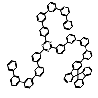 c1ccc(-c2cccc(-c3cccc(-c4cccc(-c5ccc(-c6nc(-c7cccc(-c8cccc(-c9cccc(-c%10cccc(-c%11ccccc%11)c%10)c9)c8)c7)nc(-c7cccc(-c8cccc(-c9cccc(-c%10cccc(-c%11ccc%12c(c%11)C%11(c%13ccccc%13-c%13ccccc%13%11)c%11ccccc%11-%12)c%10)c9)c8)c7)n6)cc5)c4)c3)c2)cc1